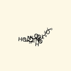 CCOCCCCS(=O)(=O)NC(=O)c1ccc(CO)nc1